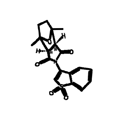 CC12CCC(C)(O1)[C@H]1C(=O)N(C3=CS(=O)(=O)c4ccccc43)C(=O)[C@H]12